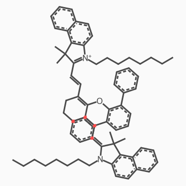 CCCCCCCCN1/C(=C/C=C2\CCCC(/C=C/C3=[N+](CCCCCCCC)c4ccc5ccccc5c4C3(C)C)=C2Oc2c(-c3ccccc3)cccc2-c2ccccc2)C(C)(C)c2c1ccc1ccccc21